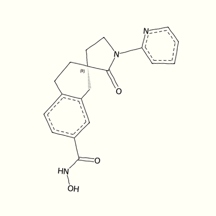 O=C(NO)c1ccc2c(c1)C[C@]1(CC2)CCN(c2ccccn2)C1=O